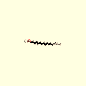 CCCCCCCCCCCCCCCCCCCCCCOCC